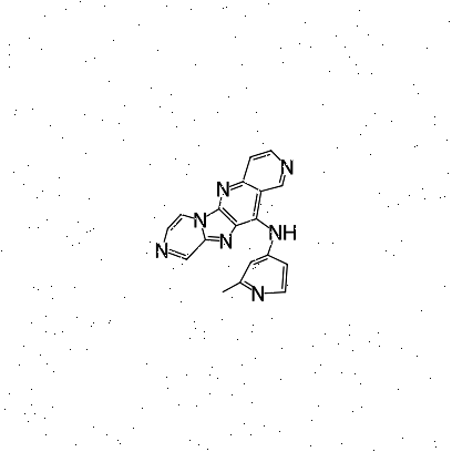 Cc1cc(Nc2c3cnccc3nc3c2nc2cnccn23)ccn1